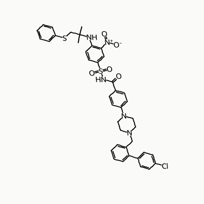 CC(C)(CSc1ccccc1)Nc1ccc(S(=O)(=O)NC(=O)c2ccc(N3CCN(Cc4ccccc4-c4ccc(Cl)cc4)CC3)cc2)cc1[N+](=O)[O-]